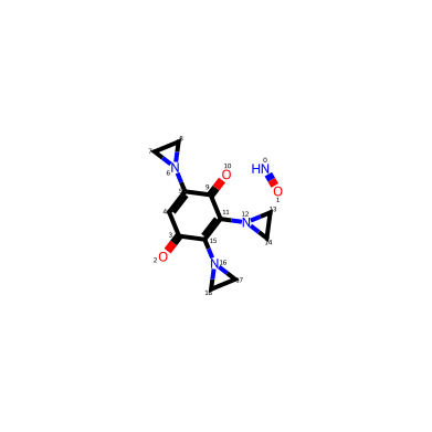 N=O.O=C1C=C(N2CC2)C(=O)C(N2CC2)=C1N1CC1